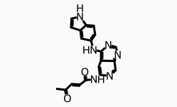 CC(=O)C=CC(=O)Nc1cc2c(Nc3ccc4[nH]ccc4c3)ncnc2cn1